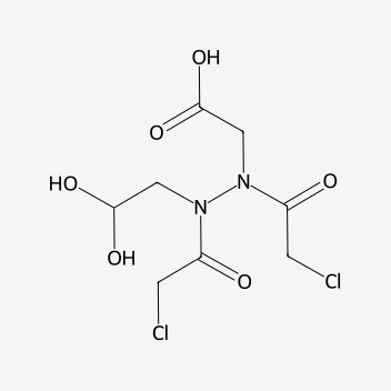 O=C(O)CN(C(=O)CCl)N(CC(O)O)C(=O)CCl